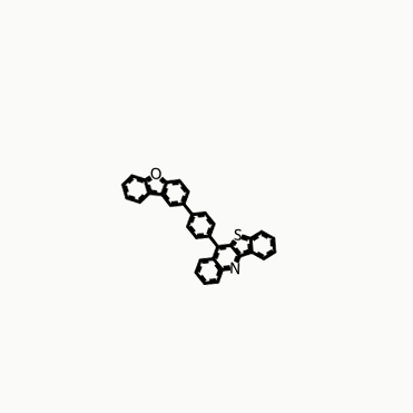 c1ccc2c(-c3ccc(-c4ccc5oc6ccccc6c5c4)cc3)c3sc4ccccc4c3nc2c1